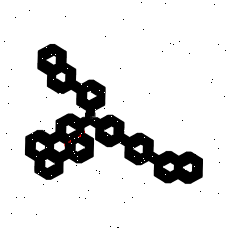 c1ccc(-c2cccc3cccc(-c4ccc(N(c5ccc(-c6ccc(-c7ccc8ccccc8c7)cc6)cc5)c5cccc(-c6ccc7ccccc7c6)c5)cc4)c23)cc1